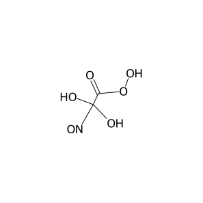 O=NC(O)(O)C(=O)OO